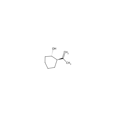 C=C(C)[C@H]1CCCC[C@@H]1O